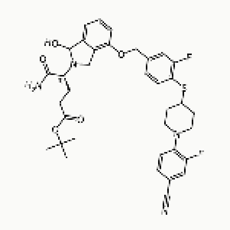 CC(C)(C)OC(=O)CC[C@@H](C(N)=O)N1Cc2c(OCc3ccc(SC4CCN(c5ccc(C#N)cc5F)CC4)c(F)c3)cccc2C1O